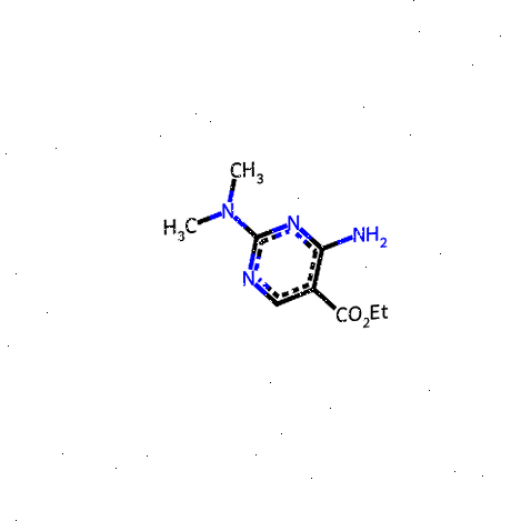 CCOC(=O)c1cnc(N(C)C)nc1N